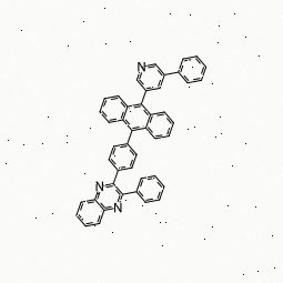 c1ccc(-c2cncc(-c3c4ccccc4c(-c4ccc(-c5nc6ccccc6nc5-c5ccccc5)cc4)c4ccccc34)c2)cc1